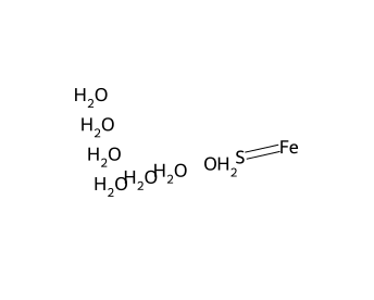 O.O.O.O.O.O.O.[S]=[Fe]